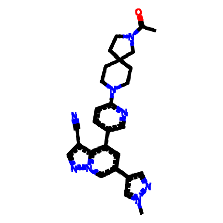 CC(=O)N1CCC2(CCN(c3ccc(-c4cc(-c5cnn(C)c5)cn5ncc(C#N)c45)cn3)CC2)C1